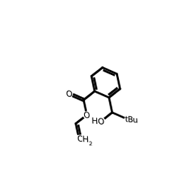 C=COC(=O)c1ccccc1C(O)C(C)(C)C